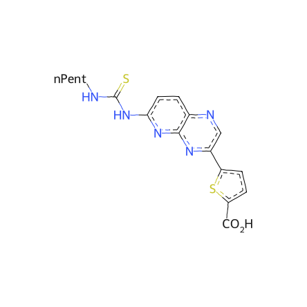 CCCCCNC(=S)Nc1ccc2ncc(-c3ccc(C(=O)O)s3)nc2n1